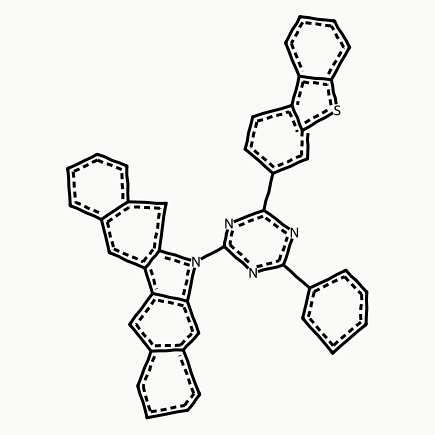 c1ccc(-c2nc(-c3ccc4c(c3)sc3ccccc34)nc(-n3c4cc5ccccc5cc4c4cc5ccccc5cc43)n2)cc1